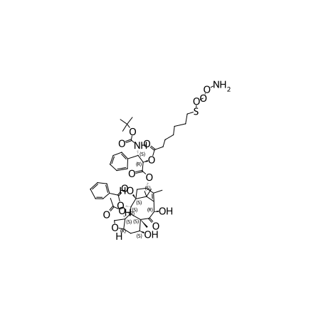 CC(=O)O[C@@]12CO[C@@H]1C[C@H](O)[C@@]1(C)C(=O)[C@H](O)C3=C(C)[C@@H](OC(=O)[C@H](OC(=O)CCCCCCSOOON)[C@@H](NC(=O)OC(C)(C)C)c4ccccc4)C[C@@](O)([C@@H](OC(=O)c4ccccc4)[C@H]21)C3(C)C